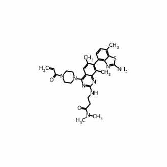 C=CC(=O)N1CCN(c2nc(NCCC(=O)N(C)C)nc3c(C)c(-c4ccc(C)c5sc(N)nc45)c(C)cc23)CC1